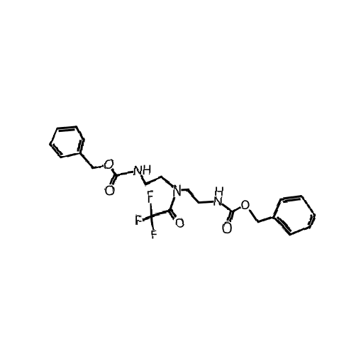 O=C(NCCN(CCNC(=O)OCc1ccccc1)C(=O)C(F)(F)F)OCc1ccccc1